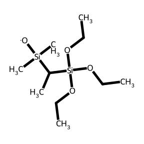 CCO[Si](OCC)(OCC)C(C)[Si](C)(C)[O]